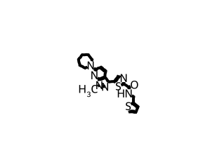 Cn1nc(-c2cnc(C(=O)NCc3cccs3)s2)c2ccc(N3CCCCCC3)nc21